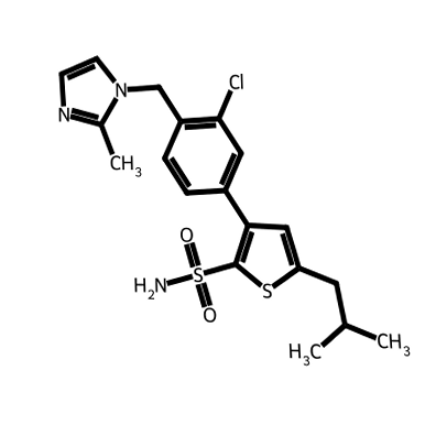 Cc1nccn1Cc1ccc(-c2cc(CC(C)C)sc2S(N)(=O)=O)cc1Cl